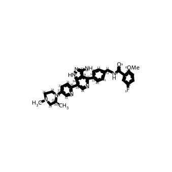 COc1ccc(F)cc1C(=O)NCc1ccc(-c2ncc(-c3ccc(N4CCN(C)C[C@@H]4C)cn3)c3[nH]nc(N)c23)cc1